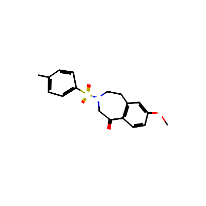 COc1ccc2c(c1)CCN(S(=O)(=O)c1ccc(C)cc1)CC2=O